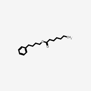 [CH2]CCCCCC(=O)OCCCCc1ccccc1